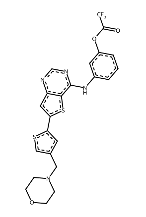 O=C(Oc1cccc(Nc2ncnc3cc(-c4cc(CN5CCOCC5)cs4)sc23)c1)C(F)(F)F